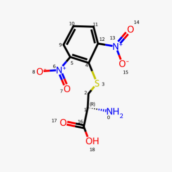 N[C@@H](CSc1c([N+](=O)[O-])cccc1[N+](=O)[O-])C(=O)O